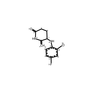 C=C1NC(=O)CCC1Nc1ccc(F)cc1Cl